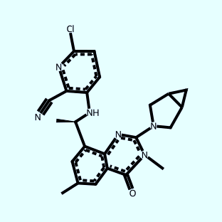 Cc1cc([C@@H](C)Nc2ccc(Cl)nc2C#N)c2nc(N3CC4CC4C3)n(C)c(=O)c2c1